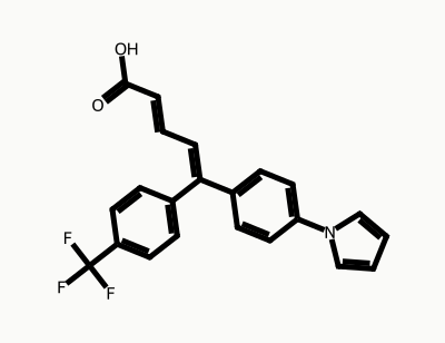 O=C(O)C=CC=C(c1ccc(-n2cccc2)cc1)c1ccc(C(F)(F)F)cc1